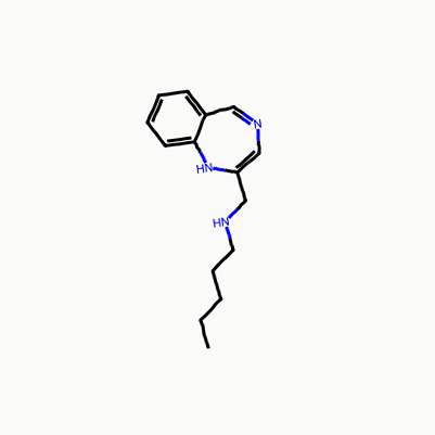 CCCCCNCC1=CN=Cc2ccccc2N1